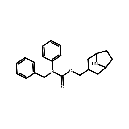 O=C(OCC1CC2CCC(C1)N2)N(Cc1ccccc1)c1ccccc1